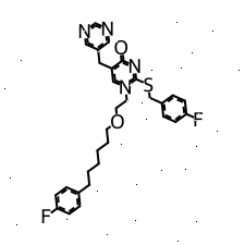 O=c1nc(SCc2ccc(F)cc2)n(CCOCCCCCCc2ccc(F)cc2)cc1Cc1cncnc1